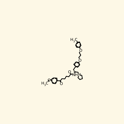 COc1ccc(C(=O)CCCCC(=O)N[C@@H](Cc2ccc(OCCCOc3ccc(C)cc3)cc2)CN2CCCC2)cc1